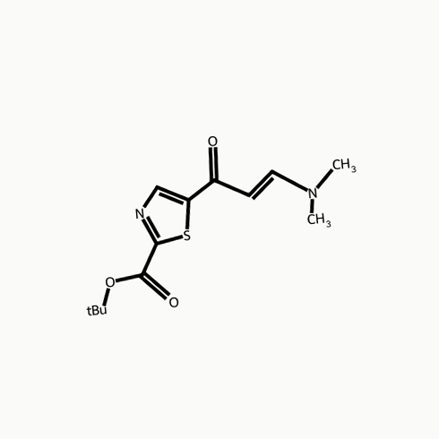 CN(C)/C=C/C(=O)c1cnc(C(=O)OC(C)(C)C)s1